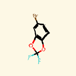 FC1(F)Oc2c[c]c(Br)cc2O1